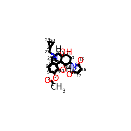 CC(=O)Oc1ccc2c3c1O[C@H]1[C@H](N4C(=O)C=CC4=O)CCC4(O)[C@@H](C2)N(CC2CC2)CC[C@]314